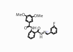 COc1cc(OC)cc(C(=O)Nc2ccccc2C(=O)N/N=C/c2cccc(F)c2)c1